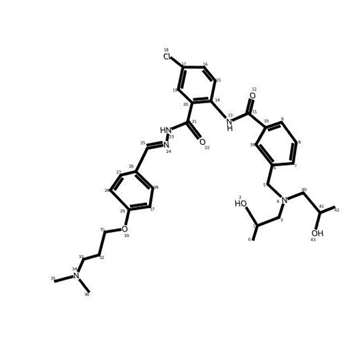 CC(O)CN(Cc1cccc(C(=O)Nc2ccc(Cl)cc2C(=O)N/N=C/c2ccc(OCCCN(C)C)cc2)c1)CC(C)O